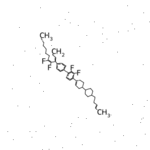 C=C/C=C(\C(F)=C(\F)CCCCCCC)c1ccc(-c2ccc(C3=CCC(C4CCC(CC/C=C/C)CC4)CC3)c(F)c2F)cc1